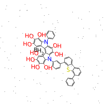 Bc1c(O)c(O)c(O)c2c1c1c3c4c(O)c(O)c(O)c(O)c4n(-c4cccc(-c5cccc6c5sc5c(-c7ccccc7)cccc56)c4)c3c(O)c(O)c1n2-c1ccccc1